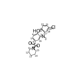 CN(c1cccc(S(=O)(=O)N2CCCCC2)c1)c1cc(Cl)ccc1O